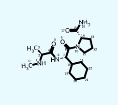 CN[C@@H](C)C(=O)N[C@H](C(=O)N1CCC[C@H]1C(N)=O)C1CCCCC1